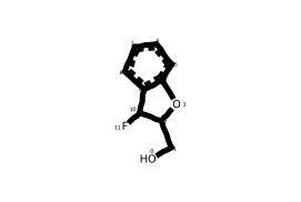 OCC1Oc2ccccc2C1F